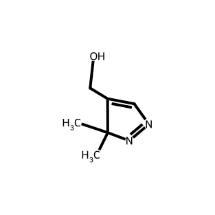 CC1(C)N=NC=C1CO